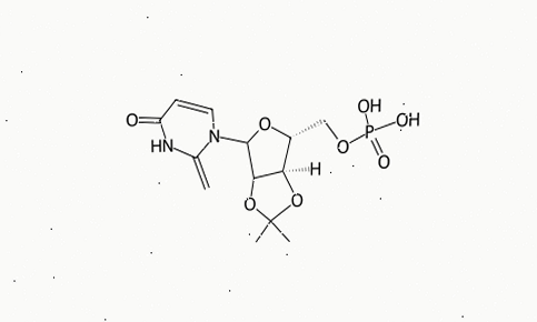 C=C1NC(=O)C=CN1C1O[C@H](COP(=O)(O)O)[C@H]2OC(C)(C)OC12